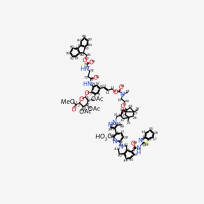 COC(=O)[C@H]1O[C@@H](Oc2ccc(/C=C/COC(=O)N(C)CCOC34CC5(C)CC(C)(CC(Cn6ncc(-c7ccc(N8CCc9cccc(C(=O)Nc%10nc%11ccccc%11s%10)c9C8)nc7C(=O)O)c6C)(C5)C3)C4)cc2NC(=O)CCNC(=O)OCC2c3ccccc3-c3ccccc32)[C@H](OC(C)=O)[C@@H](OC(C)=O)[C@@H]1OC(C)=O